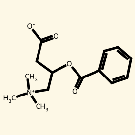 C[N+](C)(C)CC(CC(=O)[O-])OC(=O)c1ccccc1